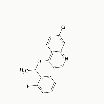 CC(Oc1ccnc2cc(Cl)ccc12)c1ccccc1F